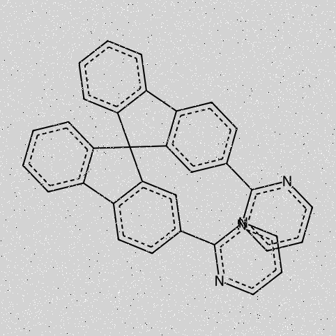 c1cnc(-c2ccc3c(c2)C2(c4ccccc4-3)c3ccccc3-c3ccc(-c4ncccn4)cc32)nc1